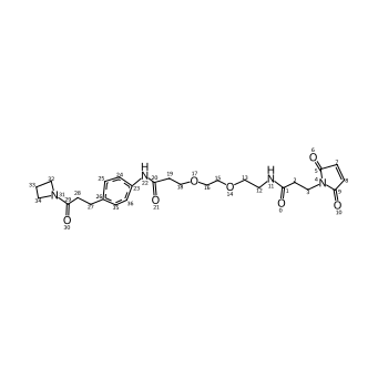 O=C(CCN1C(=O)C=CC1=O)NCCOCCOCCC(=O)Nc1ccc(CCC(=O)N2CCC2)cc1